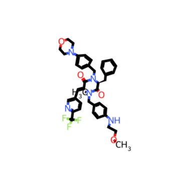 COCCNc1ccc(CN(C)C(=O)[C@H](Cc2ccccc2)N(Cc2ccc(N3CCOCC3)cc2)C(=O)/C=C/c2ccc(C(F)(F)F)nc2)cc1